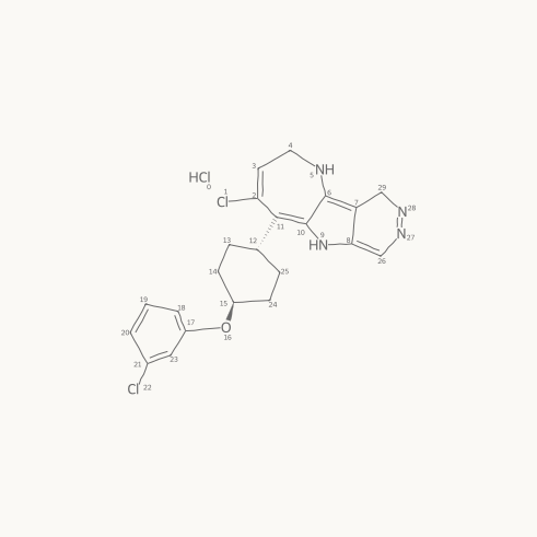 Cl.ClC1=CCNc2c3c([nH]c2=C1[C@H]1CC[C@H](Oc2cccc(Cl)c2)CC1)=CN=NC3